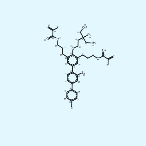 C=C(C)C(=O)OCCCc1cc(-c2ccc(-c3ccc(C)cc3)cc2CC)cc(CCCOC(=O)C(=C)C)c1OCCC(CC)(CO)CO